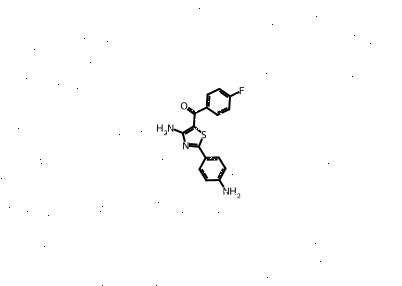 Nc1ccc(-c2nc(N)c(C(=O)c3ccc(F)cc3)s2)cc1